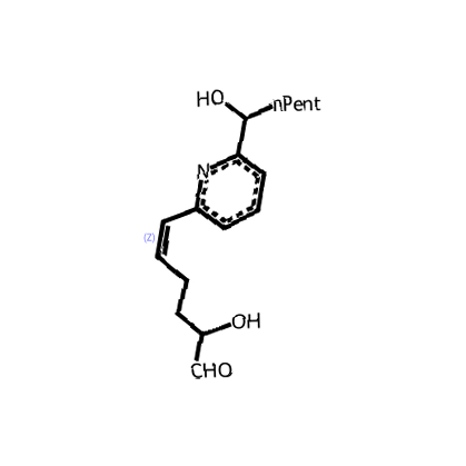 CCCCCC(O)c1cccc(/C=C\CCC(O)C=O)n1